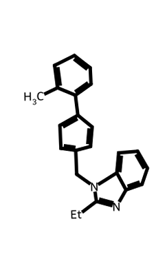 CCc1nc2ccccc2n1Cc1ccc(-c2ccccc2C)cc1